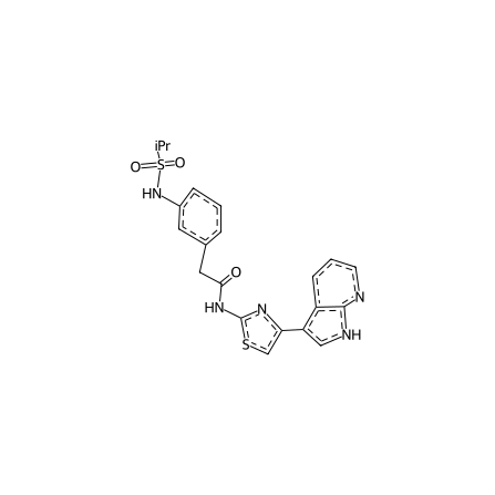 CC(C)S(=O)(=O)Nc1cccc(CC(=O)Nc2nc(-c3c[nH]c4ncccc34)cs2)c1